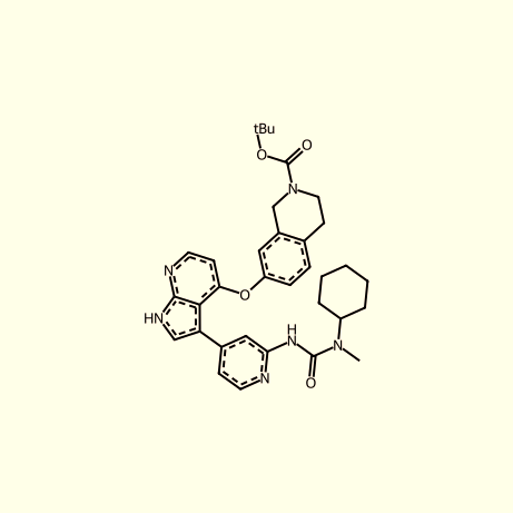 CN(C(=O)Nc1cc(-c2c[nH]c3nccc(Oc4ccc5c(c4)CN(C(=O)OC(C)(C)C)CC5)c23)ccn1)C1CCCCC1